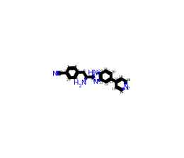 N#Cc1ccc(CC(N)c2nc3cc(-c4ccncc4)ccc3[nH]2)cc1